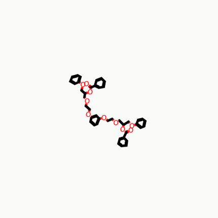 O=C(OC(COCCOc1cccc(OCCOCC(COc2ccccc2)OC(=O)c2ccccc2)c1)COc1ccccc1)c1ccccc1